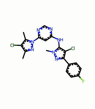 Cc1nn(-c2cc(Nc3c(Cl)c(-c4ccc(F)cc4)nn3C)ncn2)c(C)c1Cl